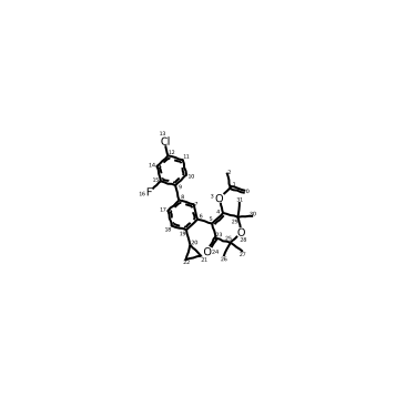 C=C(C)OC1=C(c2cc(-c3ccc(Cl)cc3F)ccc2C2CC2)C(=O)C(C)(C)OC1(C)C